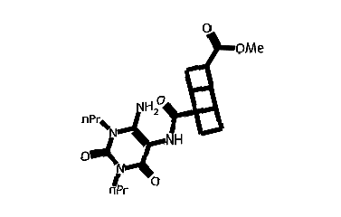 CCCn1c(N)c(NC(=O)C23C4C5C2C2C3C4C52C(=O)OC)c(=O)n(CCC)c1=O